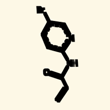 C=CC(=O)Nc1ccc(Br)cn1